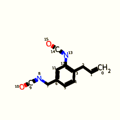 C=CCc1ccc(CN=C=O)cc1N=C=O